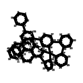 c1ccc(-c2cc(-c3cccnc3)nc(-c3ccc4c(c3)C3(c5ccccc5-c5ccccc5-4)c4ccccc4-c4c3cc3ccc5cccc6ccc4c3c56)n2)cc1